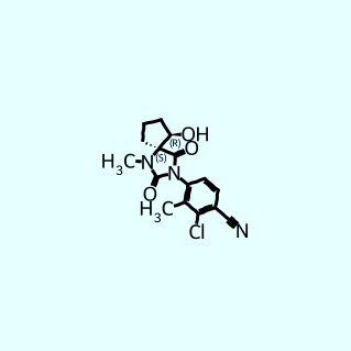 Cc1c(N2C(=O)N(C)[C@]3(CCC[C@H]3O)C2=O)ccc(C#N)c1Cl